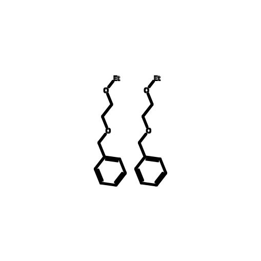 CCOCCOCc1ccccc1.CCOCCOCc1ccccc1